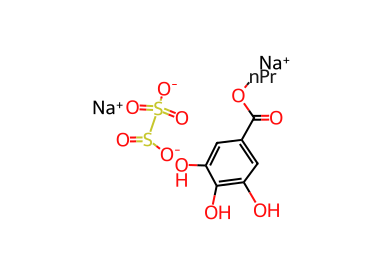 CCCOC(=O)c1cc(O)c(O)c(O)c1.O=S([O-])S(=O)(=O)[O-].[Na+].[Na+]